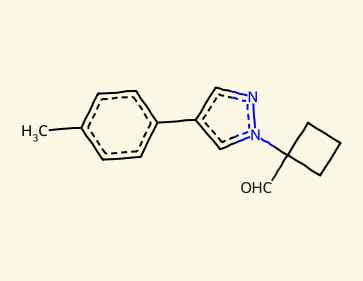 Cc1ccc(-c2cnn(C3(C=O)CCC3)c2)cc1